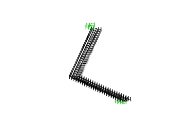 Cl.Cl.Cl.Cl.[NaH].[NaH].[NaH].[NaH].[NaH].[NaH].[NaH].[NaH].[NaH].[NaH].[NaH].[NaH].[NaH].[NaH].[NaH].[NaH].[NaH].[NaH].[NaH].[NaH].[NaH].[NaH].[NaH].[NaH].[NaH].[NaH].[NaH].[NaH].[NaH].[NaH].[NaH].[NaH].[NaH].[NaH].[NaH].[NaH].[NaH].[NaH].[NaH].[NaH].[NaH].[NaH].[NaH].[NaH].[NaH].[NaH]